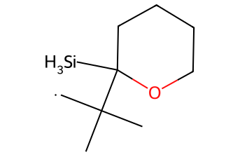 [CH2]C(C)(C)C1([SiH3])CCCCO1